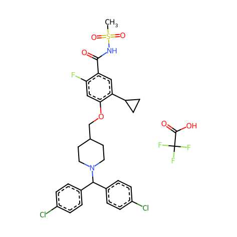 CS(=O)(=O)NC(=O)c1cc(C2CC2)c(OCC2CCN(C(c3ccc(Cl)cc3)c3ccc(Cl)cc3)CC2)cc1F.O=C(O)C(F)(F)F